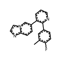 Cc1cc(-c2ncccc2-c2ccc3nccn3c2)ccc1F